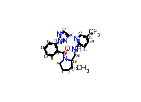 C[C@@H]1CCCN(C(=O)c2ccccc2-n2nccn2)C1CNc1ccc(C(F)(F)F)cn1